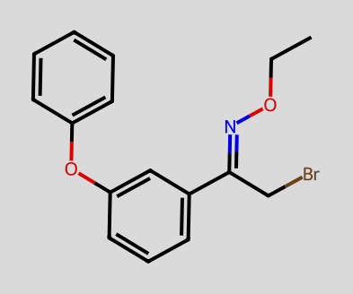 CCON=C(CBr)c1cccc(Oc2ccccc2)c1